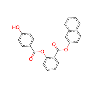 O=C(Oc1ccccc1C(=O)Oc1ccc2ccccc2c1)c1ccc(O)cc1